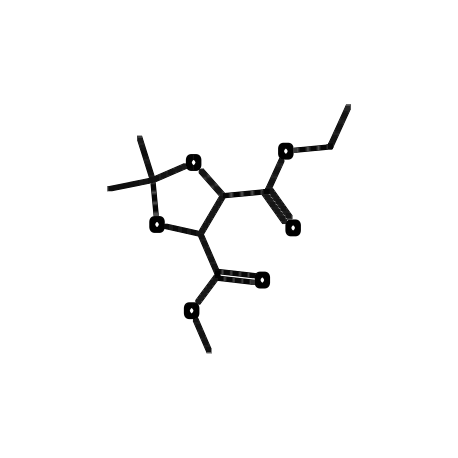 CCOC(=O)C1OC(C)(C)OC1C(=O)OC